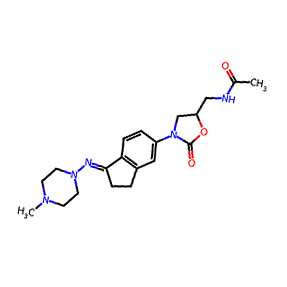 CC(=O)NCC1CN(c2ccc3c(c2)CCC3=NN2CCN(C)CC2)C(=O)O1